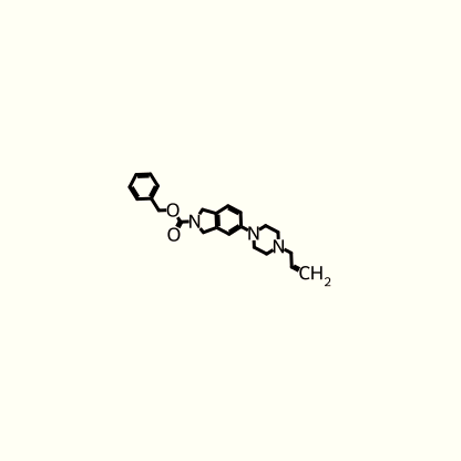 C=CCN1CCN(c2ccc3c(c2)CN(C(=O)OCc2ccccc2)C3)CC1